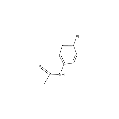 CCc1ccc(NC(C)=S)cc1